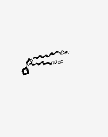 CCCCCCCCCCCCCCCCCCCN1C=CN(c2ccccc2)C1CCCCCCCCCCCCCCCCC